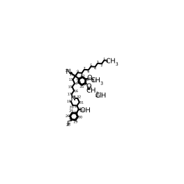 CCCCCCCCCCC(C#N)(CCCCCN1CCC(C(O)c2ccc(F)cc2)CC1)c1ccc(OC)c(OC)c1.Cl